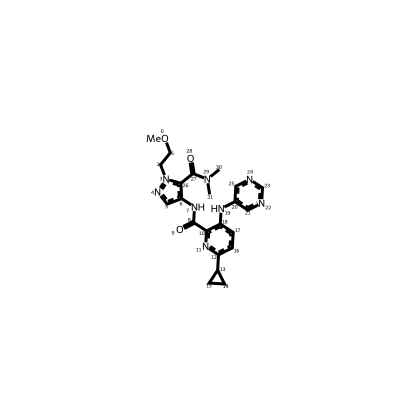 COCCn1ncc(NC(=O)c2nc(C3CC3)ccc2Nc2cncnc2)c1C(=O)N(C)C